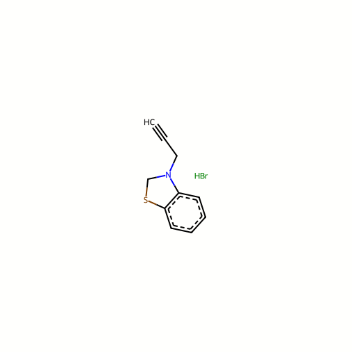 Br.C#CCN1CSc2ccccc21